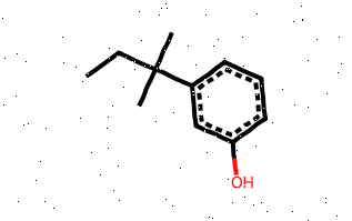 CCC(C)(C)c1[c]ccc(O)c1